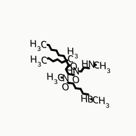 CBCCCCCC(=O)N(C)C(CC(=O)C(C)(CCCCC)CCCCCC)C(=O)NCCCNC